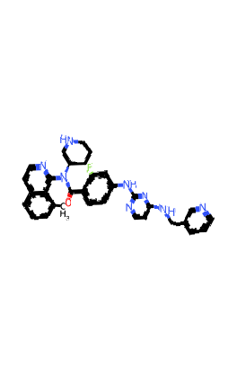 Cc1cccc2ccnc(N(C(=O)c3ccc(Nc4nccc(NCc5cccnc5)n4)cc3F)[C@@H]3CCCNC3)c12